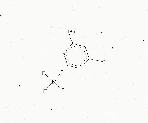 CCc1cc[s+]c(C(C)(C)C)c1.F[B-](F)(F)F